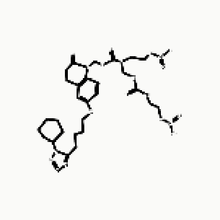 O=C(NCCO[N+](=O)[O-])OCN(CCO[N+](=O)[O-])C(=O)OCN1C(=O)CCc2cc(OCCCCc3nnnn3C3CCCCC3)ccc21